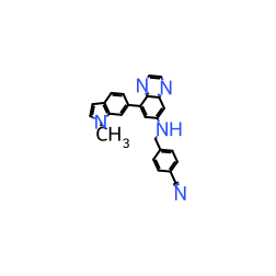 Cn1ccc2ccc(-c3cc(NCc4ccc(C#N)cc4)cc4nccnc34)cc21